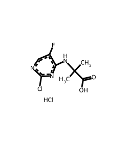 CC(C)(Nc1nc(Cl)ncc1F)C(=O)O.Cl